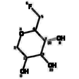 OC1COC(CF)[C@H](O)C1O